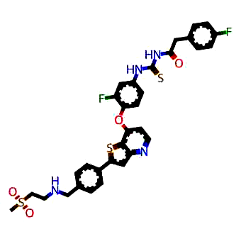 CS(=O)(=O)CCNCc1ccc(-c2cc3nccc(Oc4ccc(NC(=S)NC(=O)Cc5ccc(F)cc5)cc4F)c3s2)cc1